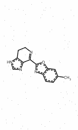 Cc1ccc2nc(C3=NCCc4[nH]cnc43)oc2c1